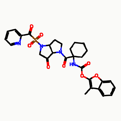 Cc1c(OC(=O)NC2(C(=O)N3CCC4C3C(=O)CN4S(=O)(=O)C(=O)c3ccccn3)CCCCC2)oc2ccccc12